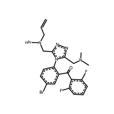 C=CCN(CCC)Cc1nnc(CN(C)C)n1-c1ccc(Br)cc1C(=O)c1c(F)cccc1F